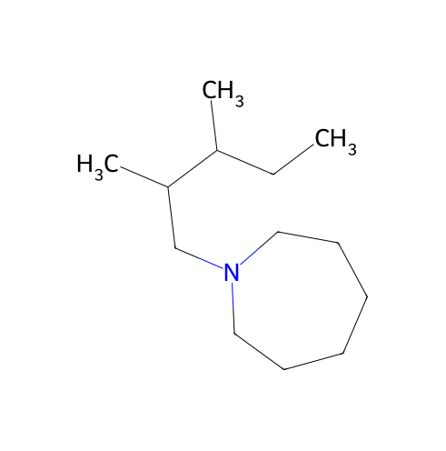 CCC(C)C(C)CN1CCCCCC1